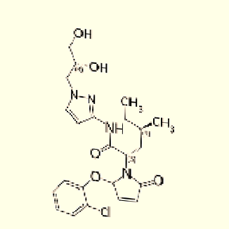 CC[C@@H](C)C[C@@H](C(=O)Nc1ccn(C[C@@H](O)CO)n1)N1C(=O)C=CC1Oc1ccccc1Cl